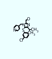 CC(C)c1nc(C=O)n(Cc2ccncc2)c1Sc1cccc(Cl)c1